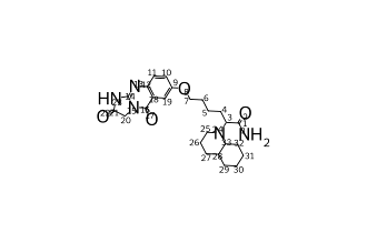 NC(=O)C(CCCCOc1ccc2nc3n(c(=O)c2c1)CC(=O)N3)N1CCCC2CCCCC21